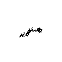 CCC(C)(C)C(=O)OC1CC2CC1C1C3CC(C(=O)OCOC4C5CC6CC(C5)CC4C6)C(C3)C21